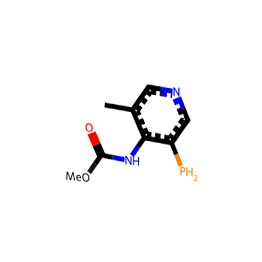 COC(=O)Nc1c(C)cncc1P